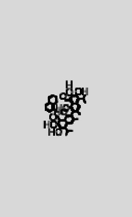 Cc1cc2c(C(C)C)c(O)c(O)c(C=O)c2c(O)c1-c1c(C)cc2c(C(C)C)c(O)c(O)c(C=O)c2c1O.c1ccc2ccccc2c1